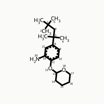 CC(C)(C)CC(C)(C)c1ccc(OC2CCCCO2)c(N)c1